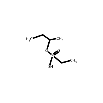 CCC(C)OP(=S)(S)CC